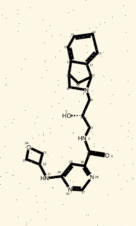 O=C(NC[C@H](O)CN1CC2CC1c1ccccc12)c1cc(NC2COC2)ncn1